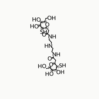 O=C(C[C@@H]1O[C@H](CO)[C@H](O)[C@H](O)[C@H]1S)NCCNCCNC(=O)C[C@@H]1O[C@H](CO)[C@H](O)[C@H](O)[C@H]1S